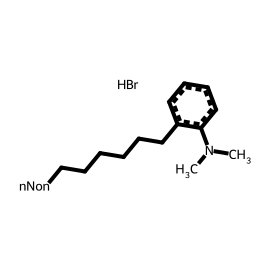 Br.CCCCCCCCCCCCCCCc1ccccc1N(C)C